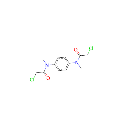 CN(C(=O)CCl)c1ccc(N(C)C(=O)CCl)cc1